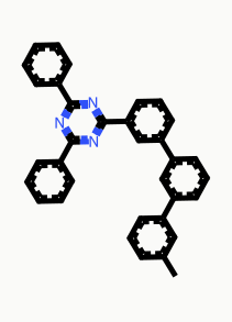 Cc1cccc(-c2cccc(-c3cccc(-c4nc(-c5ccccc5)nc(-c5ccccc5)n4)c3)c2)c1